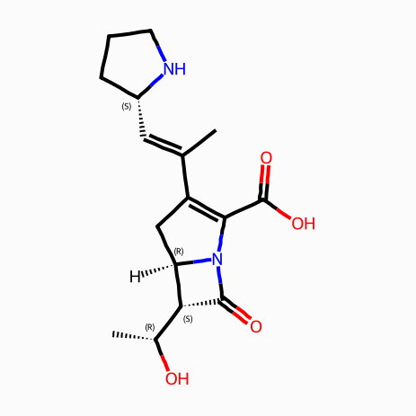 CC(=C[C@@H]1CCCN1)C1=C(C(=O)O)N2C(=O)[C@H]([C@@H](C)O)[C@H]2C1